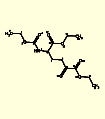 CCOC(=O)NC(CCC(=O)C(=O)OCC)C(=O)OCC